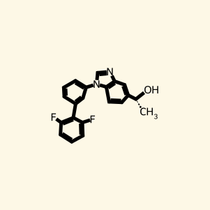 C[C@@H](O)c1ccc2c(c1)ncn2-c1cccc(-c2c(F)cccc2F)c1